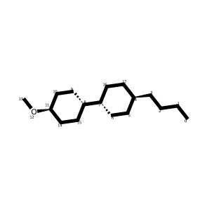 CCCC[C@H]1CC[C@H]([C@H]2CC[C@H](OC)CC2)CC1